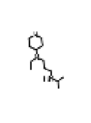 CCN(CCCNC(C)C)C1CC[N]CC1